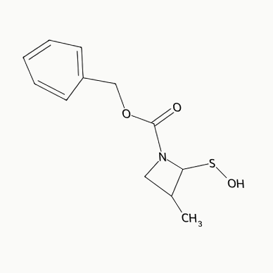 CC1CN(C(=O)OCc2ccccc2)C1SO